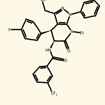 CCN1C(=O)[C@@H](NC(=O)c2cccc(C(F)(F)F)c2)[C@@H](c2ccc(F)cc2)c2c(CO)nn(-c3ccccc3)c21